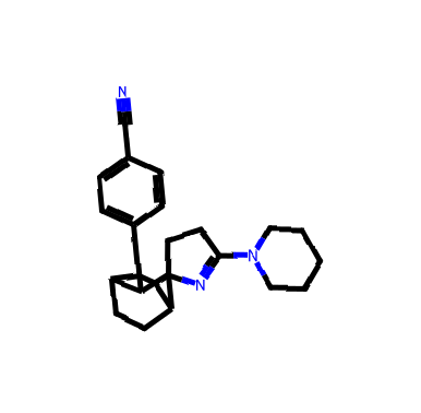 N#Cc1ccc(C2C3CCC(CC3)C23CCC(N2CCCCC2)=N3)cc1